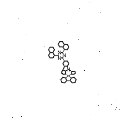 c1ccc2c(c1)-c1ccccc1C21c2ccccc2-n2c3ccc(-c4nc(-c5cccc6ccccc56)nc(-c5cccc6ccccc56)n4)cc3c3cccc1c32